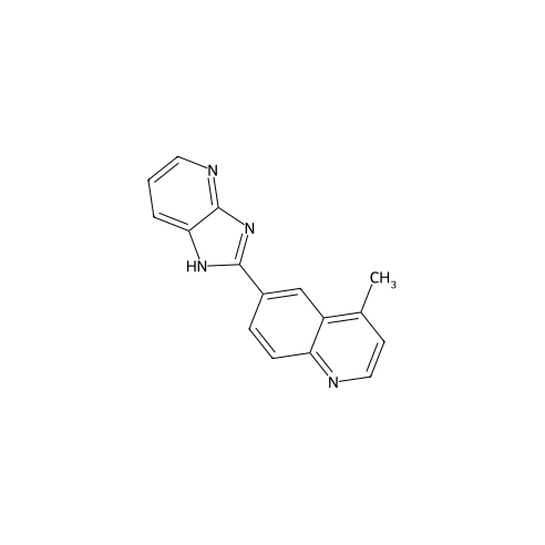 Cc1ccnc2ccc(-c3nc4ncccc4[nH]3)cc12